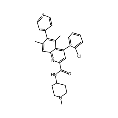 Cc1cc2nc(C(=O)NC3CCN(C)CC3)cc(-c3ccccc3Cl)c2c(C)c1-c1ccncc1